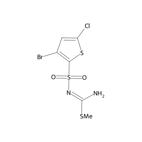 CSC(N)=NS(=O)(=O)c1sc(Cl)cc1Br